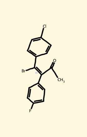 CC(=O)/C(=C(/Br)c1ccc(Cl)cc1)c1ccc(F)cc1